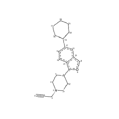 C#CCN1CCC(c2occ3cc(C4CCCCC4)ccc23)CC1